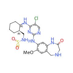 COc1cc2c(cc1Nc1ncc(Cl)c(N[C@@H]3CCCC[C@@H]3CN[SH](=O)=O)n1)NC(=O)CNC2